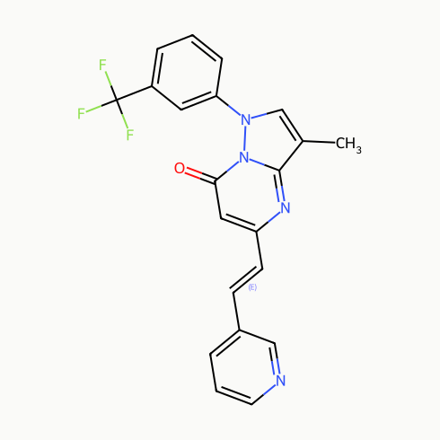 Cc1cn(-c2cccc(C(F)(F)F)c2)n2c(=O)cc(/C=C/c3cccnc3)nc12